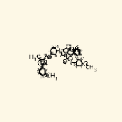 COc1ccc(COC(=O)N(CC[C@H]2CCC[C@@H](OCc3nc(-c4cccc(C)c4)oc3C)C2)[C@](C)(Cc2ccccc2)C(=O)O)cc1